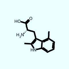 Cc1[nH]c2cccc(C)c2c1C[C@H](N)C(=O)O